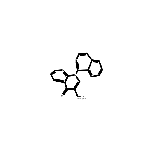 CCOC(=O)c1cn(-c2nccc3ccccc23)c2ncccc2c1=O